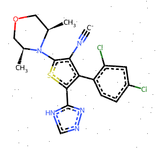 [C-]#[N+]c1c(N2[C@H](C)COC[C@@H]2C)sc(-c2nnc[nH]2)c1-c1ccc(Cl)cc1Cl